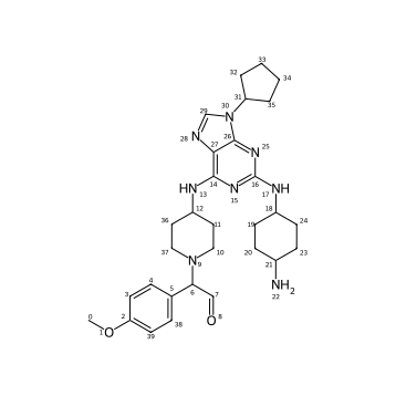 COc1ccc(C(C=O)N2CCC(Nc3nc(NC4CCC(N)CC4)nc4c3ncn4C3CCCC3)CC2)cc1